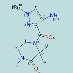 CN1CCN(C(=O)c2nn(C(C)(C)C)cc2N)C(C)(C)C1=O